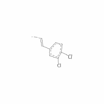 [CH2]C=Cc1ccc(Cl)c(Cl)c1